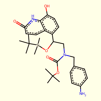 CC(C)(C)OC(=O)N(Cc1ccc(N)cc1)CC(O[Si](C)(C)C(C)(C)C)c1ccc(O)c2[nH]c(=O)ccc12